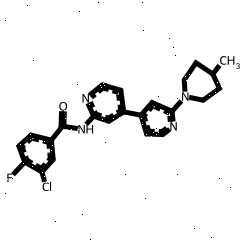 CC1CCN(c2cc(-c3ccnc(NC(=O)c4ccc(F)c(Cl)c4)c3)ccn2)CC1